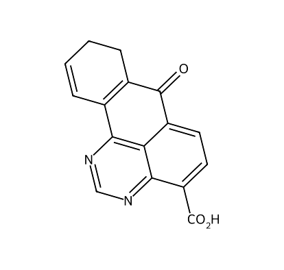 O=C(O)c1ccc2c3c(ncnc13)C1=C(CCC=C1)C2=O